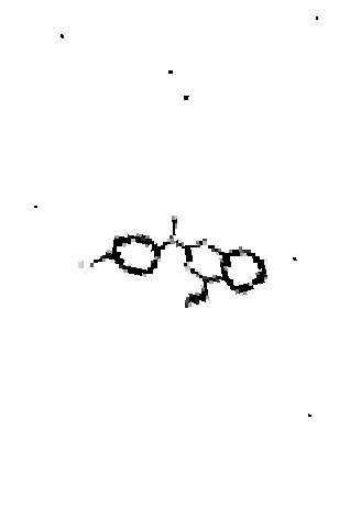 CN(C1=NC(C=O)c2cccnc2S1)c1ccc(N)cc1